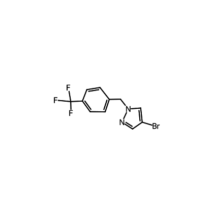 FC(F)(F)c1ccc(Cn2cc(Br)cn2)cc1